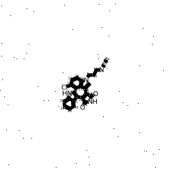 O=C1NC(=O)C(c2cn(CCCN=C=S)c3ccc(Cl)cc23)=C1c1c[nH]c2ccccc12